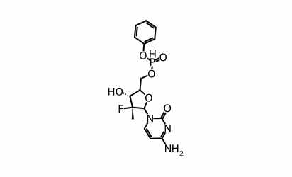 C[C@]1(F)C(n2ccc(N)nc2=O)OC(CO[PH](=O)Oc2ccccc2)[C@H]1O